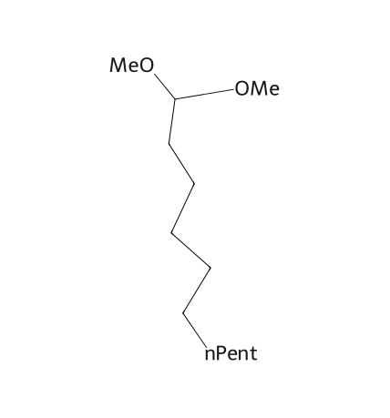 CCCCCCCCCCC(OC)OC